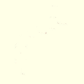 CN(CCNC(=O)Cn1ccc2ccc(-c3ccc(O)cc3)cc21)C1CCCCC1